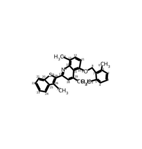 Cc1cccc(C)c1COc1ccc(C)c2nc(-c3sc4ccccc4c3C)cc(C(=O)O)c12